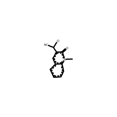 Cn1c(=O)c(C(Cl)C#N)cc2ccccc21